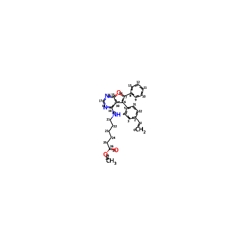 C=Cc1ccc(-c2c(-c3ccccc3)oc3ncnc(NCCCCCC(=O)OC)c23)cc1